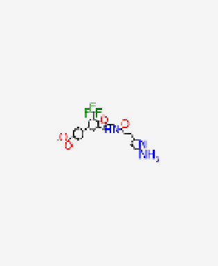 COC(=O)c1ccc(-c2cc(C(F)(F)F)c3oc(CNC(=O)C=Cc4ccc(N)nc4)cc3c2)cc1